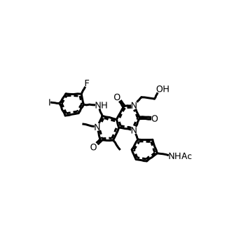 CC(=O)Nc1cccc(-n2c(=O)n(CCO)c(=O)c3c(Nc4ccc(I)cc4F)n(C)c(=O)c(C)c32)c1